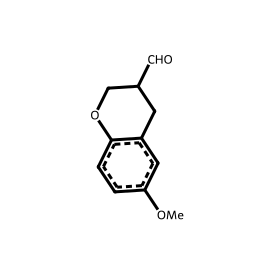 COc1ccc2c(c1)CC(C=O)CO2